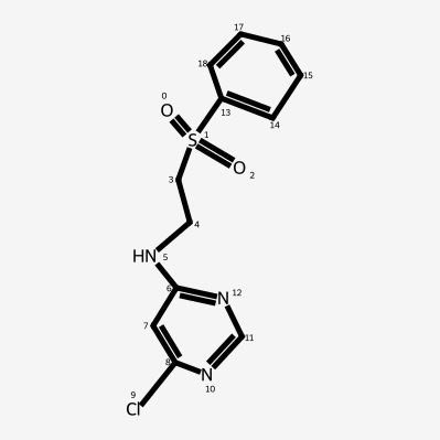 O=S(=O)(CCNc1cc(Cl)ncn1)c1ccccc1